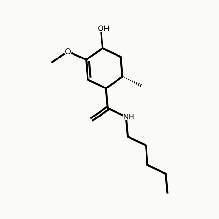 C=C(NCCCCC)C1C=C(OC)C(O)C[C@@H]1C